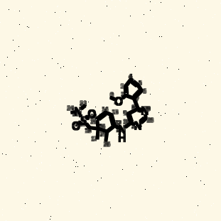 COc1ccccc1-c1cc(NC2=CC=CC(C)(CS(=O)(=O)N(C)C)C2C)ncn1